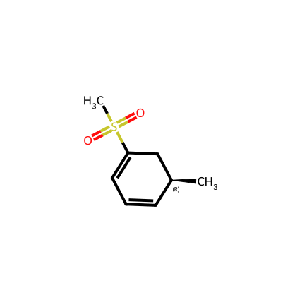 C[C@H]1C=CC=C(S(C)(=O)=O)C1